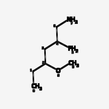 CCC(CC(P)CN)OC